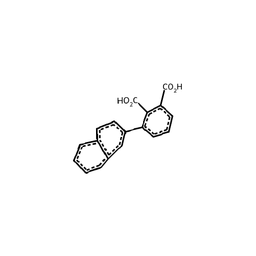 O=C(O)c1cccc(-c2ccc3ccccc3c2)c1C(=O)O